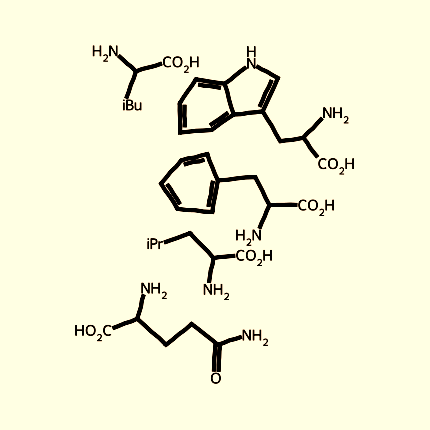 CC(C)CC(N)C(=O)O.CCC(C)C(N)C(=O)O.NC(=O)CCC(N)C(=O)O.NC(Cc1c[nH]c2ccccc12)C(=O)O.NC(Cc1ccccc1)C(=O)O